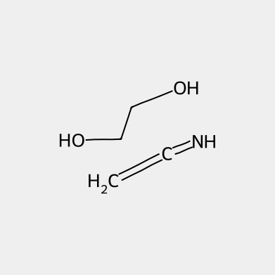 C=C=N.OCCO